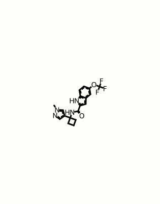 Cn1cc(C2(NC(=O)c3cc4cc(OC(F)(F)F)ccc4[nH]3)CCC2)cn1